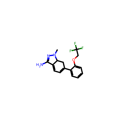 CN1N=C(N)C2=CC=C(c3ccccc3OCC(F)(F)F)CC21